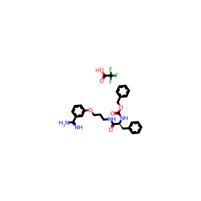 N=C(N)c1cccc(OCCCNC(=O)[C@H](Cc2ccccc2)NC(=O)OCc2ccccc2)c1.O=C(O)C(F)(F)F